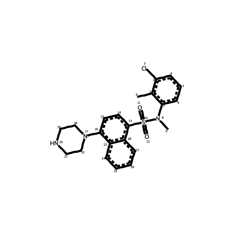 Cc1c(Cl)cccc1N(C)S(=O)(=O)c1ccc(N2CCNCC2)c2ccccc12